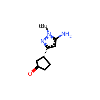 CC(C)(C)n1nc([C@@H]2CCC(=O)C2)cc1N